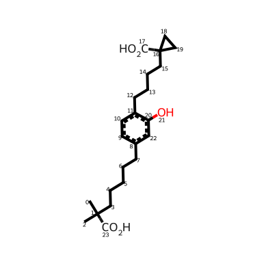 CC(C)(CCCCCc1ccc(CCCCC2(C(=O)O)CC2)c(O)c1)C(=O)O